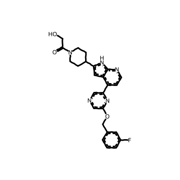 O=C(CO)N1CCC(c2cc3c(-c4cncc(OCc5cccc(F)c5)n4)ccnc3[nH]2)CC1